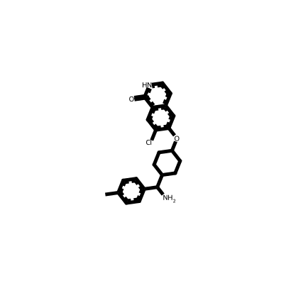 Cc1ccc(C(N)C2CCC(Oc3cc4cc[nH]c(=O)c4cc3Cl)CC2)cc1